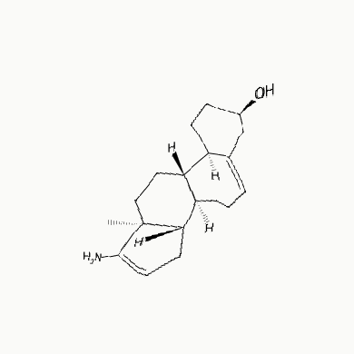 C[C@]12CC[C@H]3[C@@H](CC=C4C[C@H](O)CC[C@@H]43)[C@@H]1CC=C2N